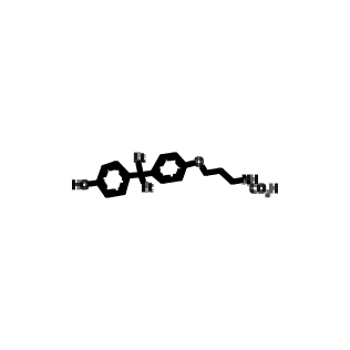 CCC(CC)(c1ccc(O)cc1)c1ccc(OCCCNC(=O)O)cc1